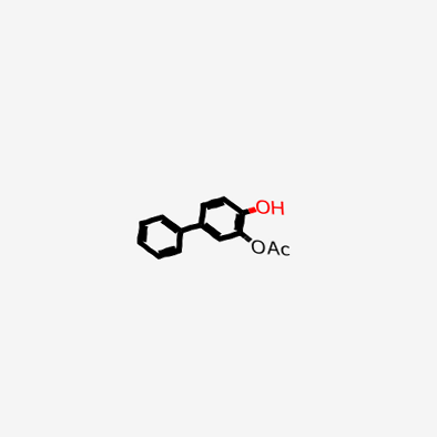 CC(=O)Oc1cc(-c2ccccc2)ccc1O